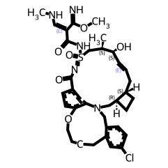 CN/C=C(\C(=N)OC)C(=O)NS1(=O)=NC(=O)c2ccc3c(c2)N(Cc2ccc(Cl)cc2CCCCO3)C[C@@H]2CC[C@H]2C/C=C/[C@H](O)[C@H](C)C1